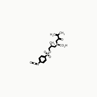 C=C(C)C(=O)CN(C[C@H](C)COS(=O)(=O)c1ccc(N=C=O)cc1)C(=O)O